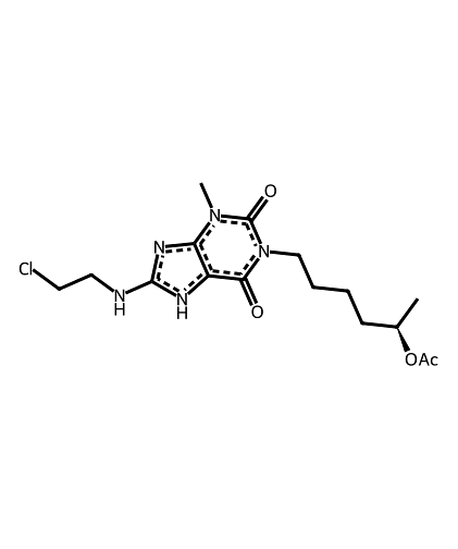 CC(=O)O[C@H](C)CCCCn1c(=O)c2[nH]c(NCCCl)nc2n(C)c1=O